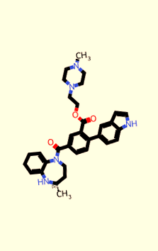 C[C@H]1CCN(C(=O)c2ccc(-c3ccc4[nH]ccc4c3)c(C(=O)OCCN3CCN(C)CC3)c2)C2=CCCC=C2N1